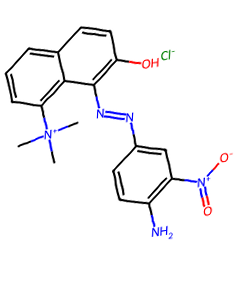 C[N+](C)(C)c1cccc2ccc(O)c(N=Nc3ccc(N)c([N+](=O)[O-])c3)c12.[Cl-]